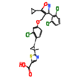 CC1(c2ncc(C(=O)O)s2)CC1c1ccc(OCc2c(-c3c(Cl)cccc3Cl)noc2C2CC2)cc1Cl